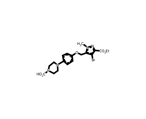 CCOC(=O)c1nn(C)c(COc2ccc(N3CCN(C(=O)O)CC3)cc2)c1Br